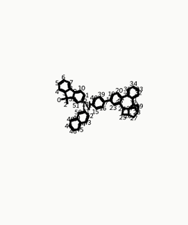 CC1(C)c2ccccc2-c2ccc(N(c3ccc(-c4ccc5c(c4)C4CC6CC7CC(c8ccccc8-5)C64C7)cc3)c3ccc4ccccc4c3)cc21